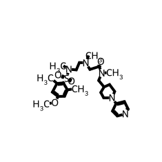 COc1cc(C)c(S(=O)(=O)N(C)CCN(C)CC(=O)N(C)CC2CCN(c3ccncc3)CC2)c(C)c1